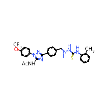 CC(=O)Nc1nc(-c2ccc(CNNC(=S)Nc3ccccc3C)cc2)nn1-c1ccc(OC(F)(F)F)cc1